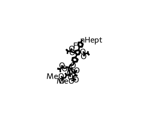 C=C(C)C(=O)OCC(COC(=O)C(=C)CC(=O)OC)(COC(=O)C(=C)CC(=O)OC)COc1ccc(-c2cc(OC(=O)C(=C)C)c(-c3ccc(CCCCCCC)cc3F)cc2OC(=O)C(=C)C)cc1